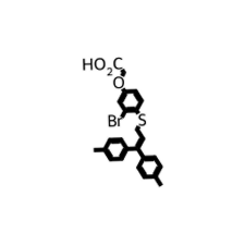 Cc1ccc(C(=CCSc2ccc(OCC(=O)O)cc2Br)c2ccc(C)cc2)cc1